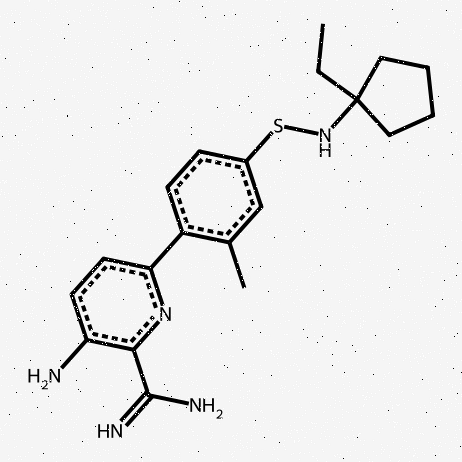 CCC1(NSc2ccc(-c3ccc(N)c(C(=N)N)n3)c(C)c2)CCCC1